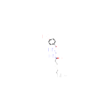 CCCCCCCCCCCCSCCC(=O)NCNC(=O)c1ccc(O)cc1